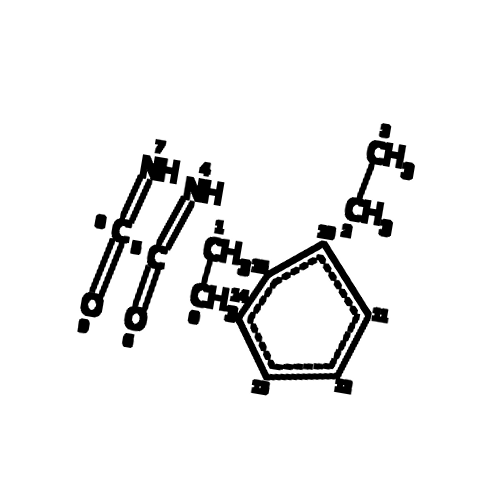 CC.CC.N=C=O.N=C=O.c1ccccc1